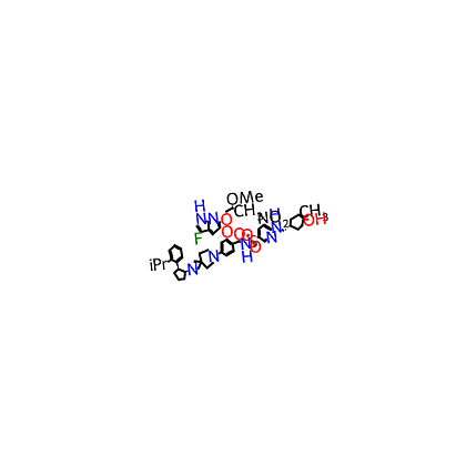 CO[C@H](C)COc1nc2[nH]cc(F)c2cc1Oc1cc(N2CCC3(CC2)CN([C@H]2CCC[C@H]2c2ccccc2C(C)C)C3)ccc1C(=O)NS(=O)(=O)c1cnc(NC[C@H]2CC[C@](C)(O)CC2)c([N+](=O)[O-])c1